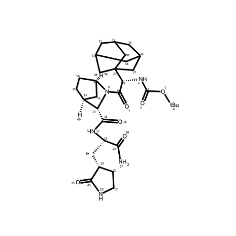 CC(C)(C)OC(=O)N[C@H](C(=O)N1[C@@H]2CC[C@@H](C2)[C@H]1C(=O)N[C@@H](C[C@@H]1CCNC1=O)C(N)=O)C12CC3CC(CC(C3)C1)C2